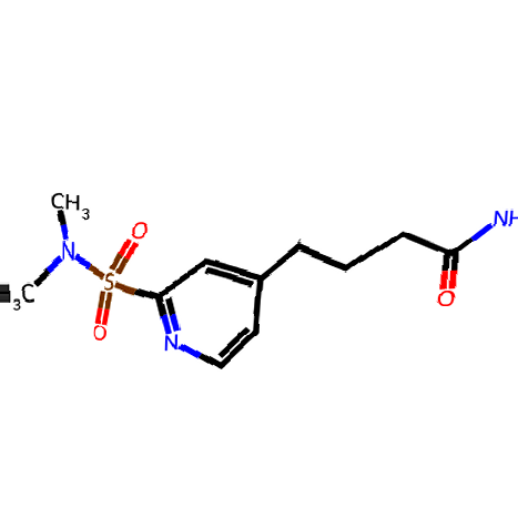 CN(C)S(=O)(=O)c1cc([CH]CCC(N)=O)ccn1